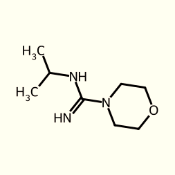 CC(C)NC(=N)N1CCOCC1